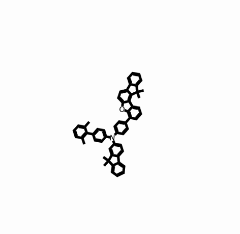 Cc1cccc(C)c1-c1ccc(N(c2ccc(-c3cccc4c3oc3ccc5c(c34)C(C)(C)c3ccccc3-5)cc2)c2ccc3c(c2)C(C)(C)c2ccccc2-3)cc1